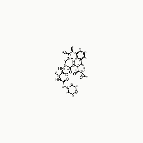 C=CC(=O)NC[C@H](NC(=O)[C@H](C)NC(=O)CN1CCOCC1)C(=O)N[C@@H](Cc1ccccc1)C(=O)[C@@]1(C)CO1